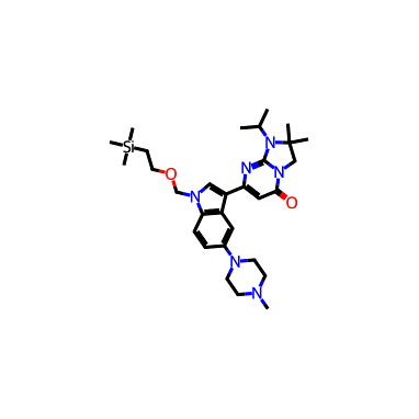 CC(C)N1c2nc(-c3cn(COCC[Si](C)(C)C)c4ccc(N5CCN(C)CC5)cc34)cc(=O)n2CC1(C)C